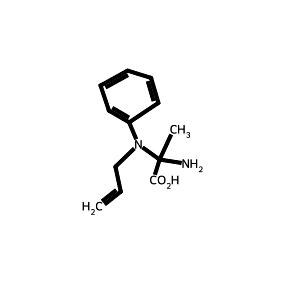 C=CCN(c1ccccc1)C(C)(N)C(=O)O